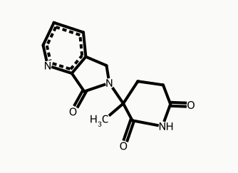 CC1(N2Cc3cccnc3C2=O)CCC(=O)NC1=O